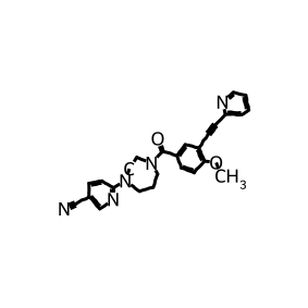 COc1ccc(C(=O)N2CCCN(c3ccc(C#N)cn3)CC2)cc1C#Cc1ccccn1